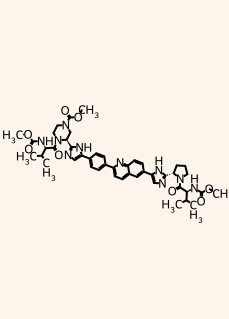 COC(=O)N[C@H](C(=O)N1CCC[C@H]1c1ncc(-c2ccc3nc(-c4ccc(-c5cnc([C@@H]6CN(C(=O)OC)CCN6C(=O)[C@@H](NC(=O)OC)C(C)C)[nH]5)cc4)ccc3c2)[nH]1)C(C)C